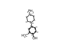 Cc1cc(N2CCN(P)CC2)ccc1O